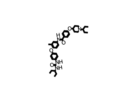 CCC(CC)NC(=O)Nc1ccc(Oc2ccc(NC(=O)c3ccc(OC4CCN(C(CC)CC)CC4)cc3)cc2C)cc1